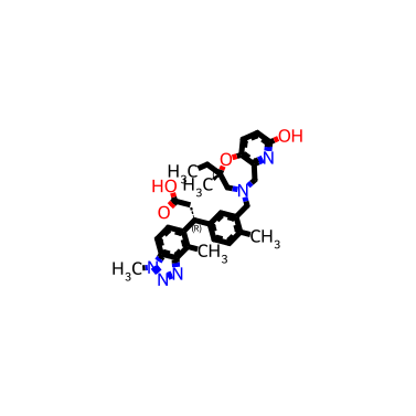 CC[C@@]1(C)CN(Cc2cc([C@@H](CC(=O)O)c3ccc4c(nnn4C)c3C)ccc2C)Cc2nc(O)ccc2O1